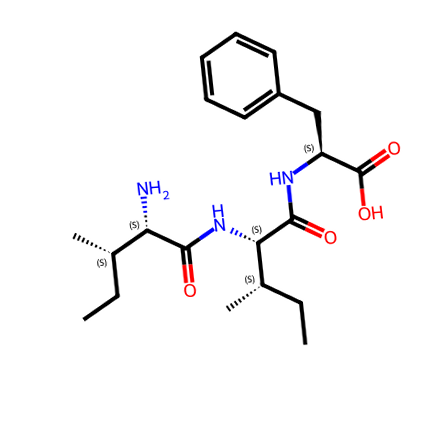 CC[C@H](C)[C@H](N)C(=O)N[C@H](C(=O)N[C@@H](Cc1ccccc1)C(=O)O)[C@@H](C)CC